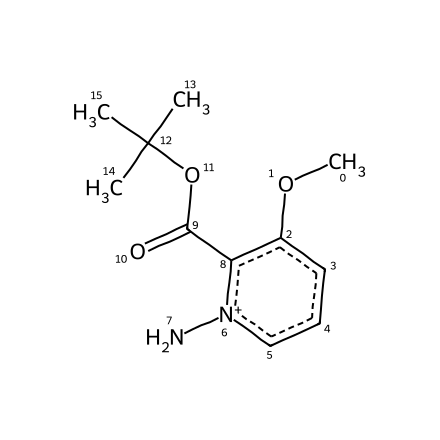 COc1ccc[n+](N)c1C(=O)OC(C)(C)C